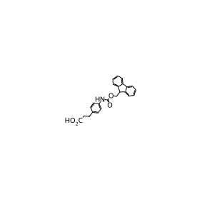 O=C(O)CCc1ccc(NC(=O)OCC2c3ccccc3-c3ccccc32)cc1